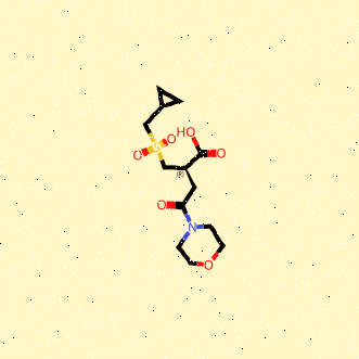 O=C(O)[C@@H](CC(=O)N1CCOCC1)CS(=O)(=O)CC1CC1